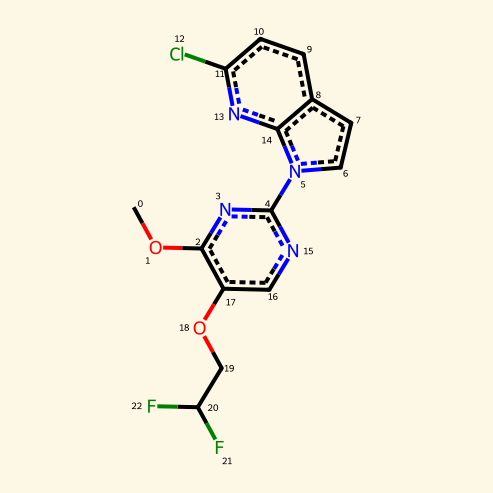 COc1nc(-n2ccc3ccc(Cl)nc32)ncc1OCC(F)F